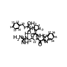 C[C@H]1CCN(C(=O)[C@H](O)CCc2ccccc2)[C@@H]1C(=O)N[C@@H](CCCNC(=N)N)C(=O)c1nc2ccccc2s1